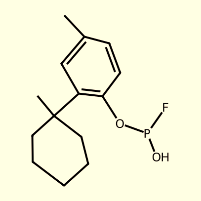 Cc1ccc(OP(O)F)c(C2(C)CCCCC2)c1